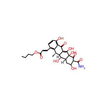 CCCCOC(=O)/C=C/c1ccc(O)c2c1[C@H](C)[C@@H]1C(=C(O)[C@]3(O)C(=O)C(C(N)=O)C(O)C[C@@H]3[C@H]1O)C2=O